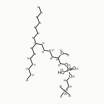 CCCCCCCC(CCCCCCC)CCSCC(COP(=O)(O)OCC[N+](C)(C)C)OC